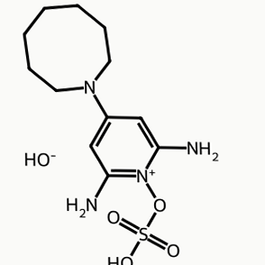 Nc1cc(N2CCCCCCC2)cc(N)[n+]1OS(=O)(=O)O.[OH-]